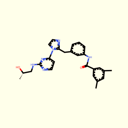 Cc1cc(C)cc(C(=O)Nc2cccc(Cc3nccn3-c3ccnc(NC[C@H](C)O)n3)c2)c1